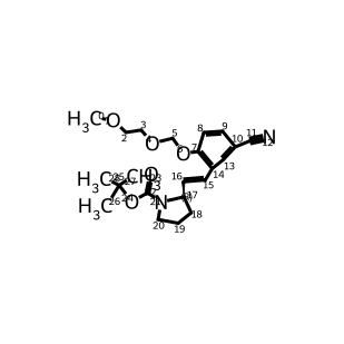 COCCOCOc1ccc(C#N)cc1C=C[C@H]1CCCN1C(=O)OC(C)(C)C